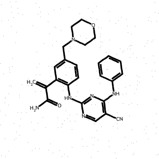 C=C(C(N)=O)c1cc(CN2CCOCC2)ccc1Nc1ncc(C#N)c(Nc2ccccc2)n1